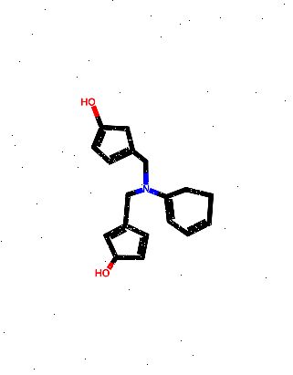 OC1=CC=C(CN(CC2=CC(O)C=C2)C2=CC=CCC2)C1